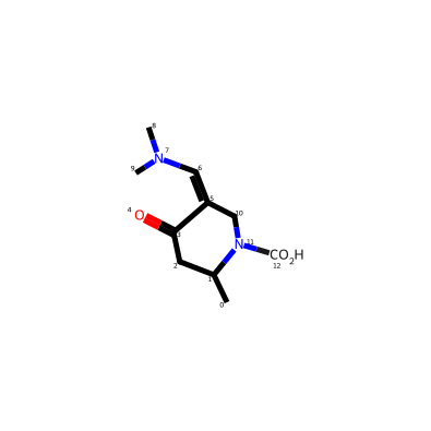 CC1CC(=O)/C(=C\N(C)C)CN1C(=O)O